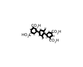 Cc1cc(-c2cc(C(=O)O)cc(C(=O)O)c2)cc(C)c1-c1cc(C(=O)O)cc(C(=O)O)c1